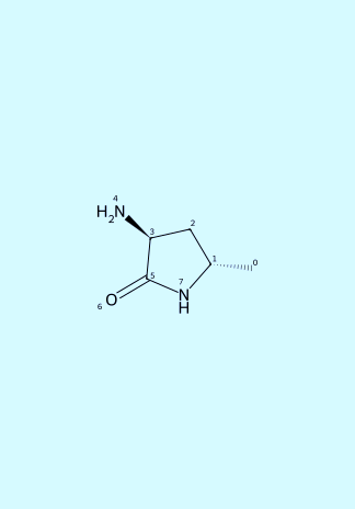 C[C@H]1C[C@H](N)C(=O)N1